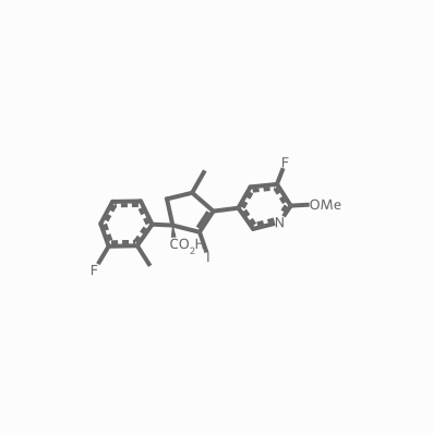 COc1ncc(C2=C(I)[C@](C(=O)O)(c3cccc(F)c3C)CC2C)cc1F